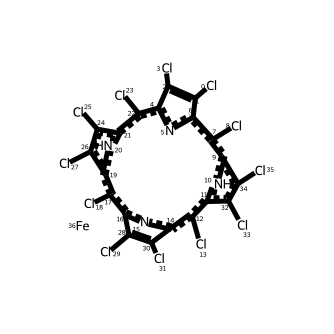 ClC1=C(Cl)c2nc1c(Cl)c1[nH]c(c(Cl)c3nc(c(Cl)c4[nH]c(c2Cl)c(Cl)c4Cl)C(Cl)=C3Cl)c(Cl)c1Cl.[Fe]